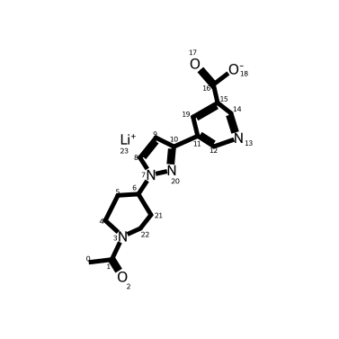 CC(=O)N1CCC(n2ccc(-c3cncc(C(=O)[O-])c3)n2)CC1.[Li+]